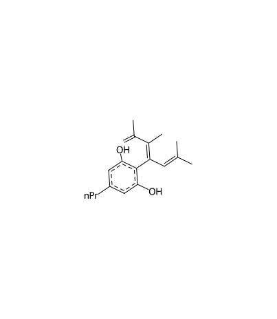 C=C(C)/C(C)=C(/C=C(C)C)c1c(O)cc(CCC)cc1O